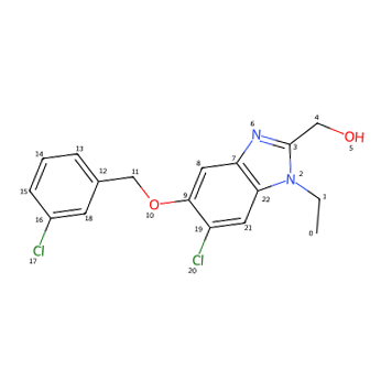 CCn1c(CO)nc2cc(OCc3cccc(Cl)c3)c(Cl)cc21